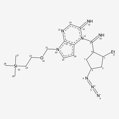 CCC1CC(N=[N+]=[N-])CC1C(=N)n1c(=N)cnc2c1ccn2COCC[Si](C)(C)C